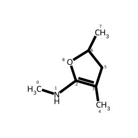 CNC1=C(C)CC(C)O1